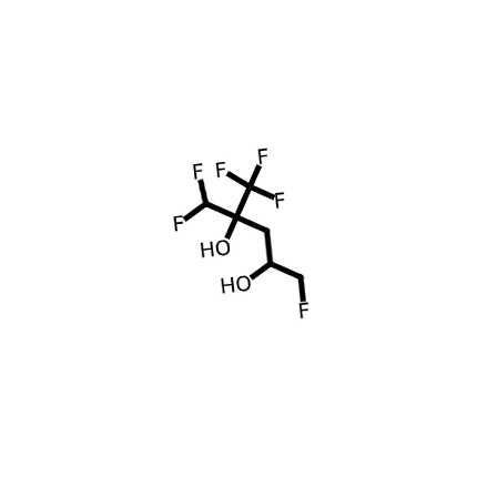 OC(CF)CC(O)(C(F)F)C(F)(F)F